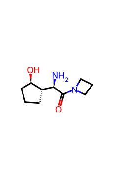 N[C@@H](C(=O)N1CCC1)[C@@H]1CCC[C@H]1O